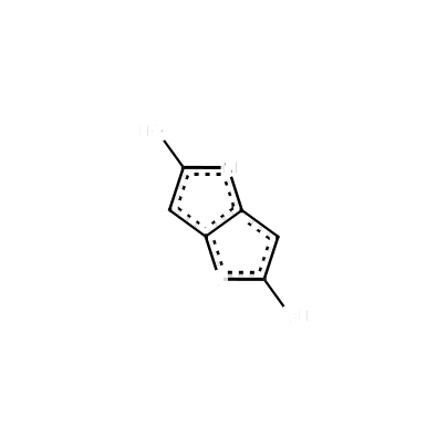 Oc1cc2oc(O)cc2[nH]1